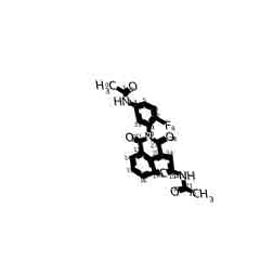 CC(=O)Nc1ccc(F)c(N2C(=O)c3cccc4cc(NC(C)=O)cc(c34)C2=O)c1